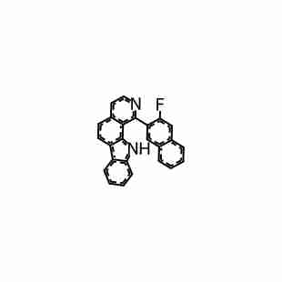 Fc1cc2ccccc2cc1-c1nccc2ccc3c4ccccc4[nH]c3c12